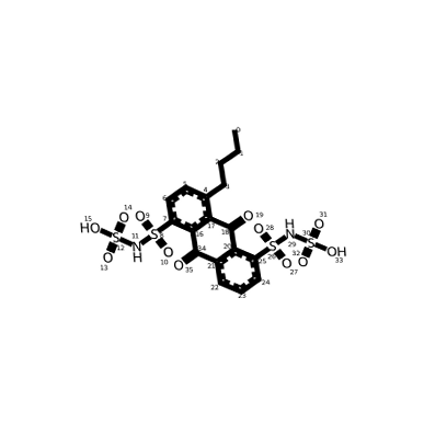 CCCCc1ccc(S(=O)(=O)NS(=O)(=O)O)c2c1C(=O)c1c(cccc1S(=O)(=O)NS(=O)(=O)O)C2=O